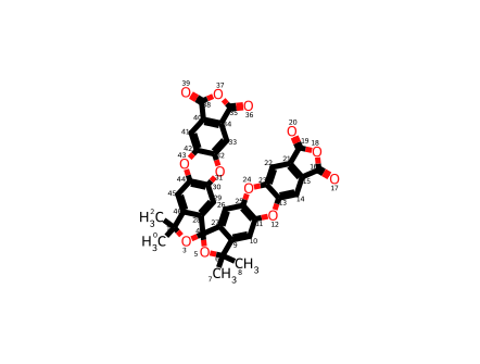 CC1(C)OC2(OC(C)(C)c3cc4oc5cc6c(=O)oc(=O)c6cc5oc4cc32)c2cc3oc4cc5c(=O)oc(=O)c5cc4oc3cc21